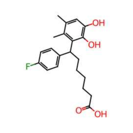 Cc1cc(O)c(O)c(C(CCCCCC(=O)O)c2ccc(F)cc2)c1C